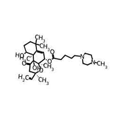 C=C[C@@]1(C)CC(=O)[C@@]2(O)[C@](C)(O1)[C@@H](OC(=O)CCCCN1CCN(C)CC1)C=C1C(C)(C)CC[C@H](O)[C@@]12C